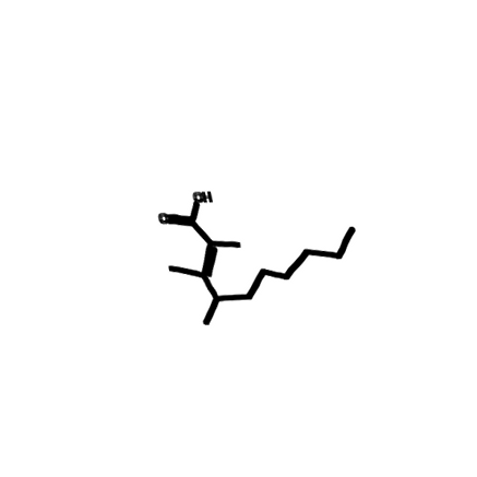 CCCCCCC(C)C(C)=C(C)C(=O)O